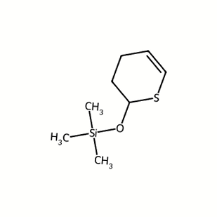 C[Si](C)(C)OC1CCC=CS1